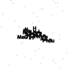 CCCCN1CCN(c2ccc3[nH]c(-c4cc(OC)c5ncnn5c4)c(C(C)C)c3n2)CC1